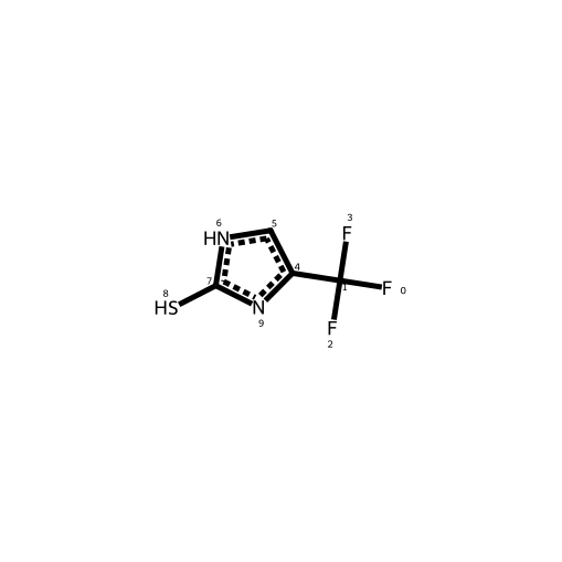 FC(F)(F)c1c[nH]c(S)n1